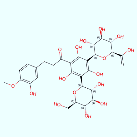 C=C(O)[C@H]1O[C@@H](c2c(O)c(C(=O)CCc3ccc(OC)c(O)c3)c(O)c([C@@H]3O[C@H](CO)[C@@H](O)[C@H](O)[C@H]3O)c2O)[C@H](O)[C@@H](O)[C@@H]1O